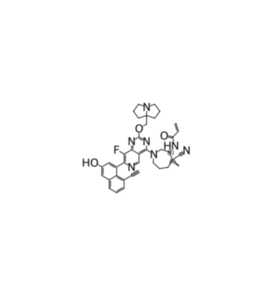 C#Cc1cccc2cc(O)cc(-c3ncc4c(N5CCC[C@@](C)(C#N)[C@@H](NC(=O)C=C)C5)nc(OCC56CCCN5CCC6)nc4c3F)c12